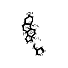 C[C@]12CCC(O)CC1CC[C@@H]1[C@H]2CC[C@]2(C)C(OCc3ccoc3)CC[C@@]12O